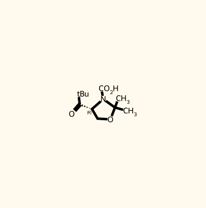 CC(C)(C)C(=O)[C@H]1COC(C)(C)N1C(=O)O